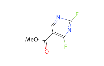 COC(=O)c1cnc(F)nc1F